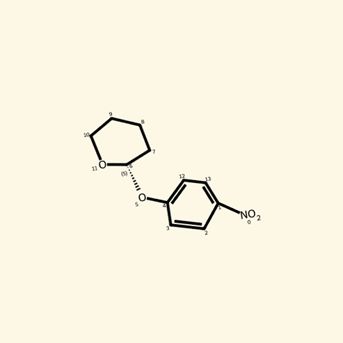 O=[N+]([O-])c1ccc(O[C@H]2CCCCO2)cc1